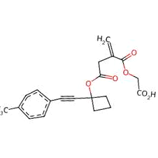 C=C(CC(=O)OC1(C#Cc2ccc(C(F)(F)F)cc2)CCC1)C(=O)OCC(=O)O